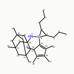 CCC[CH]1[CH](CCC)[Ti]1([NH]C12CC3(C)CC(C)(CC(C)(C3)C1)C2)[C]1=C(C)C(C)=C(C)C1C